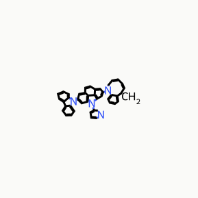 C=C1/C=C\C=C/CN(c2cc3ccc4cc(-n5c6ccccc6c6ccccc65)cc5c4c3c(c2)n5-c2cccnc2)c2ccccc21